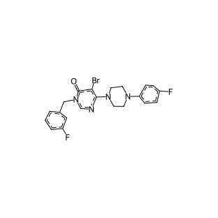 O=c1c(Br)c(N2CCN(c3ccc(F)cc3)CC2)ncn1Cc1cccc(F)c1